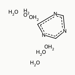 O.O.O.O.O.O.c1ncncn1